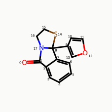 O=C1c2ccccc2C2(c3ccoc3)SCCN12